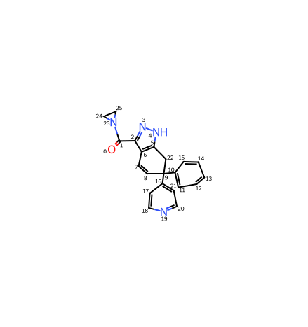 O=C(c1n[nH]c2c1C=CC(c1ccccc1)(c1ccncc1)C2)N1CC1